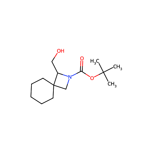 CC(C)(C)OC(=O)N1CC2(CCCCC2)C1CO